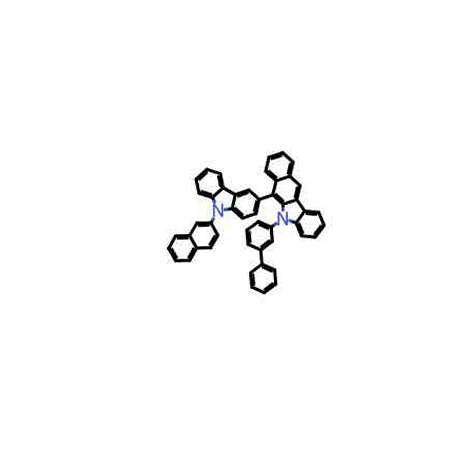 c1ccc(-c2cccc(-n3c4ccccc4c4cc5ccccc5c(-c5ccc6c(c5)c5ccccc5n6-c5ccc6ccccc6c5)c43)c2)cc1